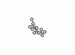 c1ccc(-c2ccc(-n3c4ccccc4c4c(-n5c6ccccc6c6ccc([Si](c7ccccc7)(c7ccccc7)c7ccccc7)cc65)cccc43)c(-c3ccccc3)c2)cc1